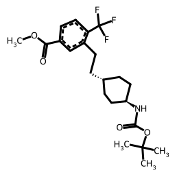 COC(=O)c1ccc(C(F)(F)F)c(CC[C@H]2CC[C@H](NC(=O)OC(C)(C)C)CC2)c1